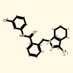 O=C(Nc1cccc(Cl)c1)c1ccccc1Cn1nc(C(F)(F)F)c2c1CCCC2